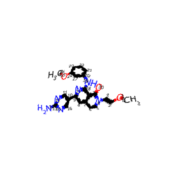 COCCn1ccc2cc(-c3cnc(N)nc3)nc(Nc3cccc(OC)c3)c2c1=O